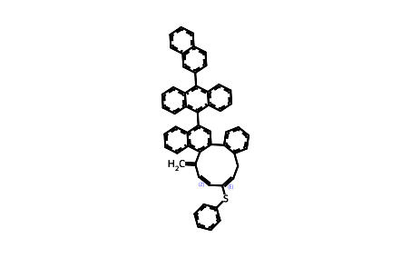 C=C1/C=C\C(Sc2ccccc2)=C/Cc2ccccc2-c2cc(-c3c4ccccc4c(-c4ccc5ccccc5c4)c4ccccc34)c3ccccc3c21